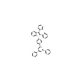 c1ccc(-c2cc(-c3ccccc3)nc(-c3ccc(-n4c5c(c6ccccc64)-c4ccccc4Sc4ccccc4-5)cc3)c2)cc1